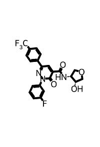 O=C(N[C@@H]1COC[C@@H]1O)c1cc(-c2ccc(C(F)(F)F)cc2)nn(-c2cccc(F)c2)c1=O